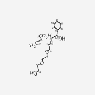 C=CC(=O)O.OCCOCCOCCOCC(O)c1ccccc1